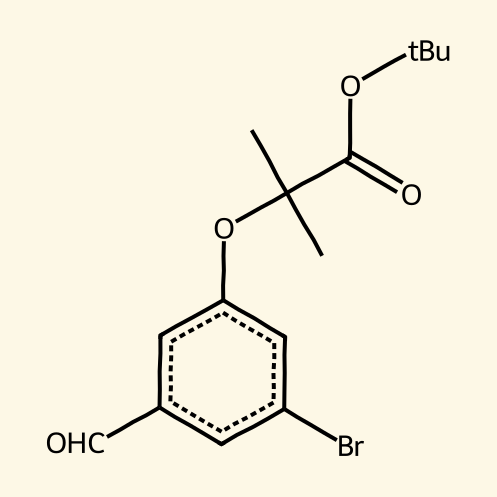 CC(C)(C)OC(=O)C(C)(C)Oc1cc(Br)cc(C=O)c1